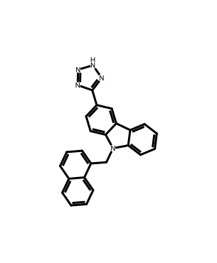 c1ccc2c(Cn3c4ccccc4c4cc(-c5nn[nH]n5)ccc43)cccc2c1